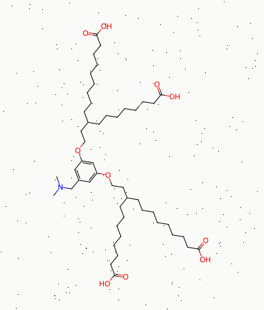 CN(C)Cc1cc(OCCC(CCCCCCCCC(=O)O)CCCCCCCC(=O)O)cc(OCCC(CCCCCCCCC(=O)O)CCCCCCCC(=O)O)c1